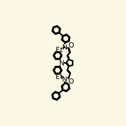 CCN1C(=CC=C2CCC(C=Cc3oc4ccc(-c5ccccc5)cc4[n+]3CC)=C2N(c2ccccc2)c2ccccc2)Oc2ccc(-c3ccccc3)cc21